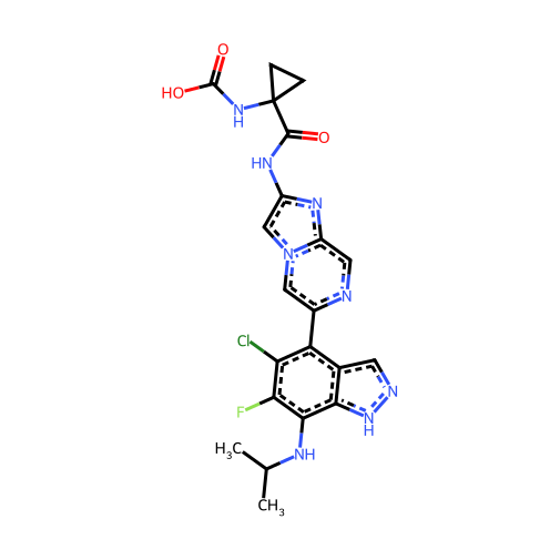 CC(C)Nc1c(F)c(Cl)c(-c2cn3cc(NC(=O)C4(NC(=O)O)CC4)nc3cn2)c2cn[nH]c12